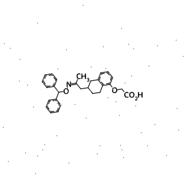 C/C(CC1CCc2c(cccc2OCC(=O)O)C1)=N/OC(c1ccccc1)c1ccccc1